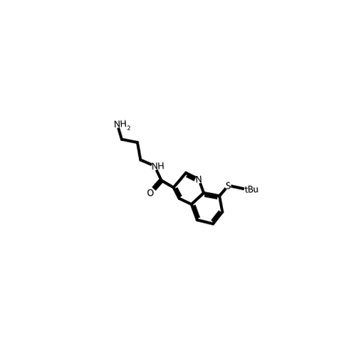 CC(C)(C)Sc1cccc2cc(C(=O)NCCCN)cnc12